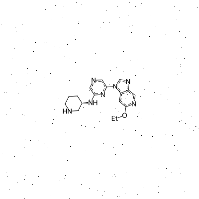 CCOc1cc2c(cn1)ncn2-c1cncc(N[C@@H]2CCCNC2)n1